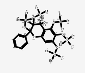 CC[Si](CC)(CC)Oc1cc2c(c(O[Si](CC)(CC)CC)c1O[Si](CC)(CC)CC)C(O)(OC)C(O)(O[Si](CC)(CC)CC)C(O[Si](CC)(CC)CC)(c1ccccc1)O2